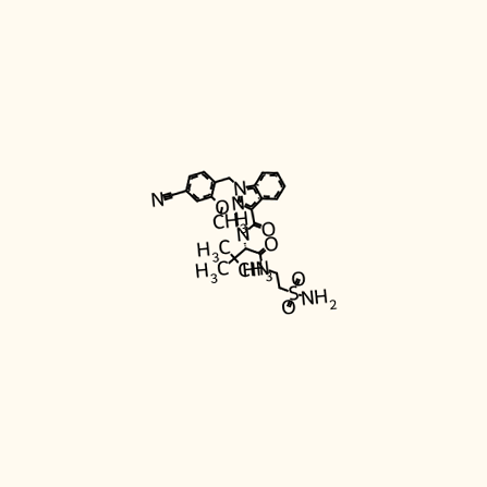 COc1cc(C#N)ccc1Cn1nc(C(=O)N[C@H](C(=O)NCCS(N)(=O)=O)C(C)(C)C)c2ccccc21